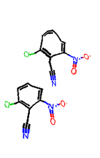 N#Cc1c(Cl)cccc1[N+](=O)[O-].N#Cc1c(Cl)cccc1[N+](=O)[O-]